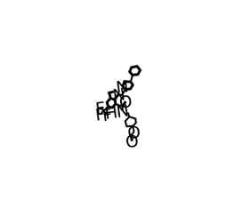 O=COC1CCC(CNC(=O)c2cc(C(F)(F)F)cc3ccn(Cc4ccc(-c5ccccc5)cn4)c23)CC1